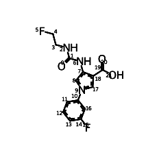 O=C(NCCF)Nc1cn(-c2cccc(F)c2)cc1C(=O)O